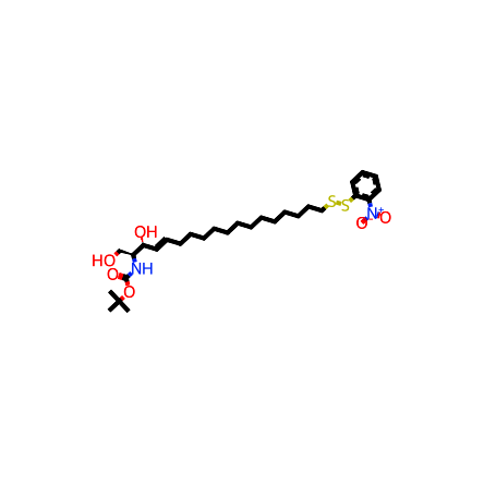 CC(C)(C)OC(=O)N[C@@H](CO)[C@H](O)/C=C/CCCCCCCCCCCCCSSc1ccccc1[N+](=O)[O-]